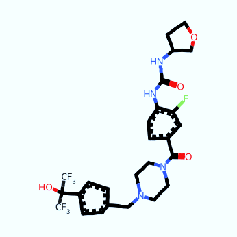 O=C(Nc1ccc(C(=O)N2CCN(Cc3ccc(C(O)(C(F)(F)F)C(F)(F)F)cc3)CC2)cc1F)NC1CCOC1